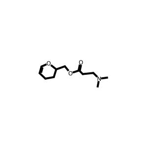 CN(C)CCC(=O)OCC1CCC=CO1